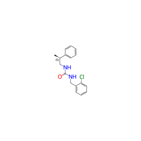 C[C@H](CNC(=O)NCc1ccccc1Cl)c1ccccc1